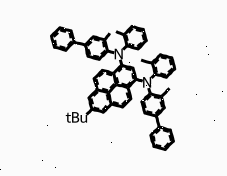 Cc1ccccc1N(c1ccc(-c2ccccc2)cc1C)c1cc(N(c2ccccc2C)c2ccc(-c3ccccc3)cc2C)c2ccc3cc(C(C)(C)C)cc4ccc1c2c43